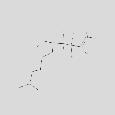 COC(C)(CCCCN(C)C)C(F)(F)C(F)(F)C(F)=C(F)F